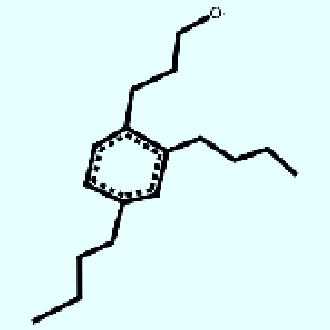 CCCCc1ccc(CCC[O])c(CCCC)c1